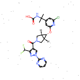 CC(C)(NC(=O)O)c1cc(Cl)nc(O[C@@H]2[C@@H]3CN(C(=O)c4cn(-c5ncccn5)nc4C(F)F)C[C@@H]32)c1